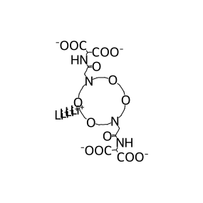 O=C(CN1CCOCCOCCN(CC(=O)NC(C(=O)[O-])C(=O)[O-])CCOCCOCC1)NC(C(=O)[O-])C(=O)[O-].[Li+].[Li+].[Li+].[Li+]